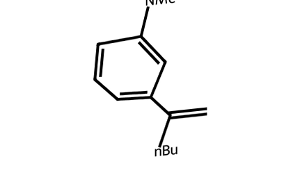 C=C(CCCC)c1cccc(NC)c1